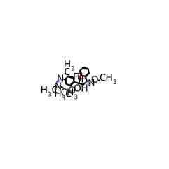 CCO/N=C(/CC(O)(c1cc(C)c(/N=C\N(C)CC)cc1OC)C(F)(F)F)c1ccccc1